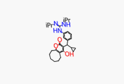 CC(C)/N=C(\Nc1cccc(C(c2c(O)c3c(oc2=O)CCCCCC3)C2CC2)c1)NC(C)C